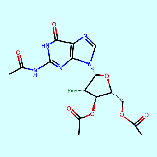 CC(=O)Nc1nc2c(ncn2[C@@H]2O[C@H](COC(C)=O)[C@@H](OC(C)=O)[C@@H]2F)c(=O)[nH]1